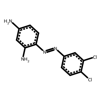 Nc1ccc(N=Nc2ccc(Cl)c(Cl)c2)c(N)c1